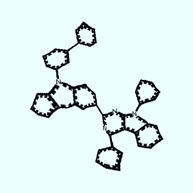 c1ccc(-c2cccc(-n3c4ccccc4c4cc(-c5nc(-c6ccccc6)c6c7ccccc7n(-c7ccccc7)c6n5)ccc43)c2)cc1